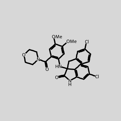 COc1cc(NC2(Cc3cccc(Cl)c3)C(=O)Nc3cc(Cl)ccc32)c(C(=O)N2CCOCC2)cc1OC